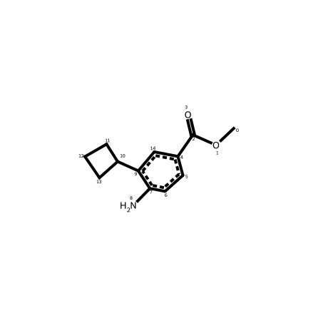 COC(=O)c1ccc(N)c(C2CCC2)c1